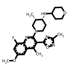 COc1cc(F)c2nc(N3CC[C@@H](NC4CCOCC4)[C@@H](C)C3)c(-c3nc(C)no3)c(C)c2c1